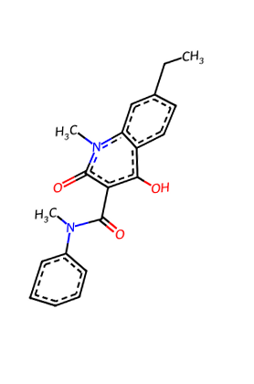 CCc1ccc2c(O)c(C(=O)N(C)c3ccccc3)c(=O)n(C)c2c1